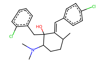 CC1CCC(N(C)C)C(O)(Cc2ccccc2Cl)C1=Cc1ccc(Cl)cc1